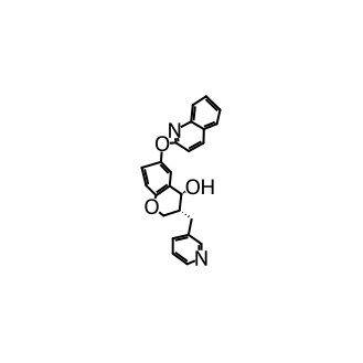 O[C@H]1c2cc(Oc3ccc4ccccc4n3)ccc2OC[C@H]1Cc1cccnc1